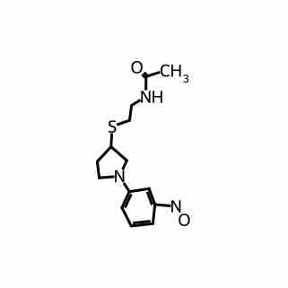 CC(=O)NCCSC1CCN(c2cccc(N=O)c2)C1